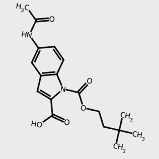 CC(=O)Nc1ccc2c(c1)cc(C(=O)O)n2C(=O)OCCC(C)(C)C